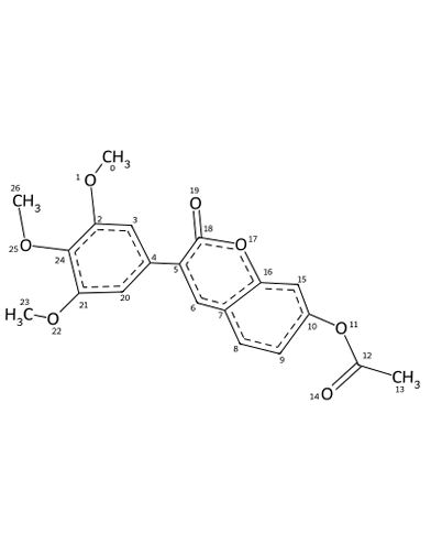 COc1cc(-c2cc3ccc(OC(C)=O)cc3oc2=O)cc(OC)c1OC